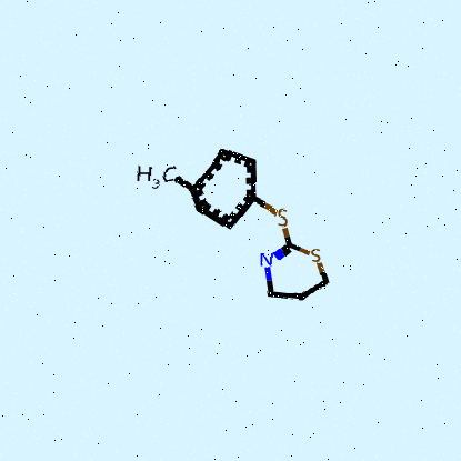 Cc1ccc(SC2=NCCCS2)cc1